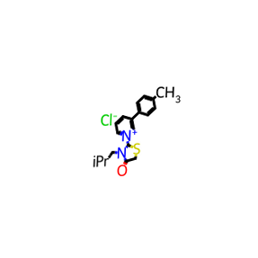 Cc1ccc(-c2ccc[n+](C3SCC(=O)N3CC(C)C)c2)cc1.[Cl-]